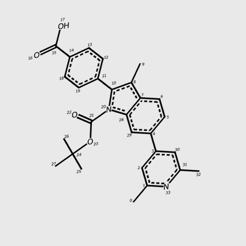 Cc1cc(-c2ccc3c(C)c(-c4ccc(C(=O)O)cc4)n(C(=O)OC(C)(C)C)c3c2)cc(C)n1